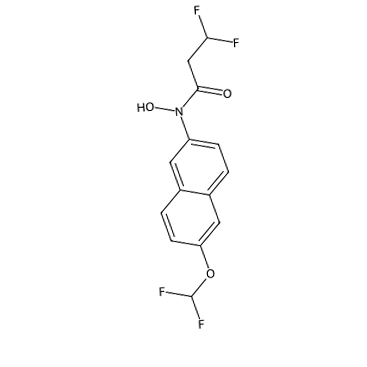 O=C(CC(F)F)N(O)c1ccc2cc(OC(F)F)ccc2c1